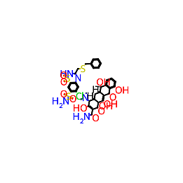 CN(C)[C@@H]1C(O)=C(C(N)=O)C(=O)[C@@]2(O)C(O)=C3C(=O)c4c(O)cccc4[C@@](C)(O)[C@H]3C[C@@H]12.NS(=O)(=O)c1cc2c(cc1Cl)N=C(CSCc1ccccc1)NS2(=O)=O